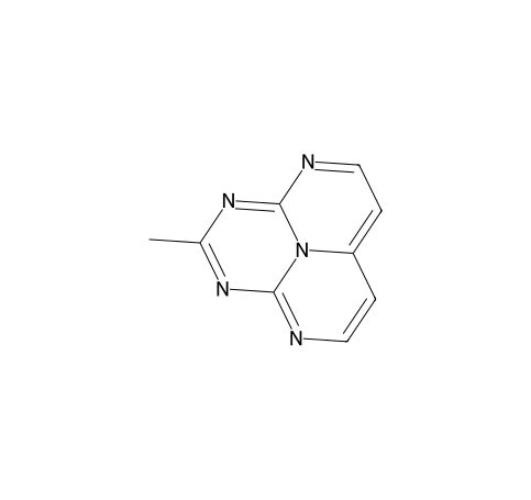 CC1=NC2=NC=CC3=CC=NC(=N1)N32